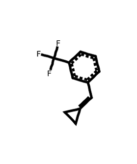 FC(F)(F)c1cccc(C=C2CC2)c1